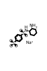 N[C@@H]1CCCC[C@H]1NS(=O)(=O)c1ccc(S(=O)(=O)[O-])cc1.[Na+]